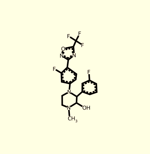 CN1CCN(c2ccc(-c3noc(C(F)(F)F)n3)c(F)c2)C(c2cccc(F)c2)C1O